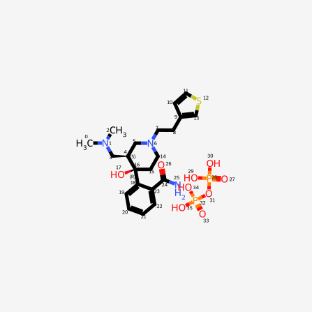 CN(C)C[C@H]1CN(CCc2ccsc2)CC[C@]1(O)c1ccccc1C(N)=O.O=P(O)(O)OP(=O)(O)O